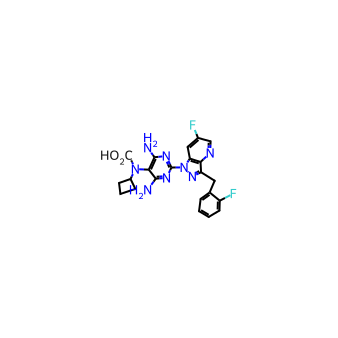 Nc1nc(-n2nc(Cc3ccccc3F)c3ncc(F)cc32)nc(N)c1N(C(=O)O)C1CCC1